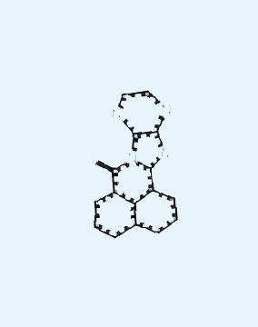 O=c1c2cccc3cccc(c32)c2nc3nccnc3n12